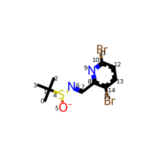 CC(C)(C)[S+]([O-])N=Cc1nc(Br)ccc1Br